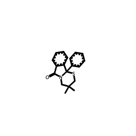 CC1(C)CSC2(c3ccccc3)c3ccccc3C(=O)N2C1